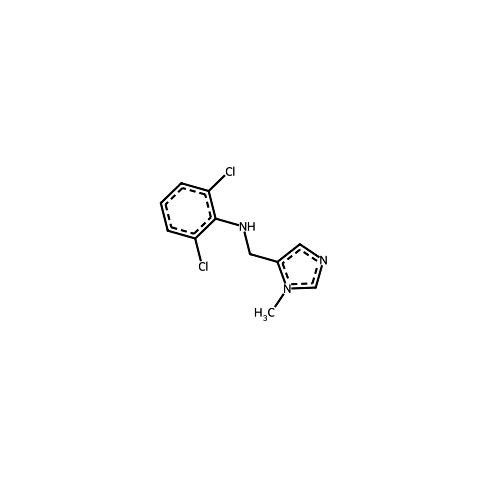 Cn1cncc1CNc1c(Cl)cccc1Cl